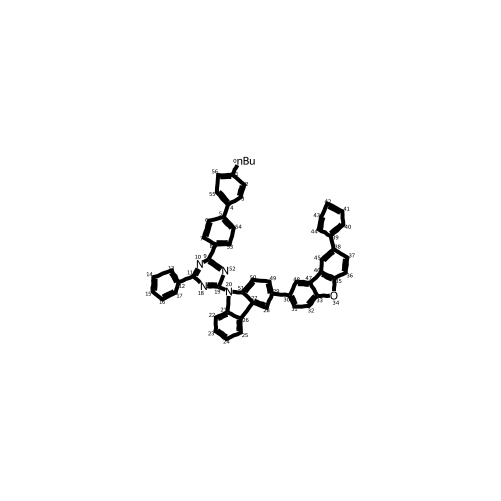 CCCCc1ccc(-c2ccc(-c3nc(-c4ccccc4)nc(-n4c5ccccc5c5cc(-c6ccc7oc8ccc(-c9ccccc9)cc8c7c6)ccc54)n3)cc2)cc1